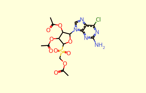 CC(=O)OCS(=O)(=O)C1OC(n2cnc3c(Cl)nc(N)nc32)C(OC(C)=O)C1OC(C)=O